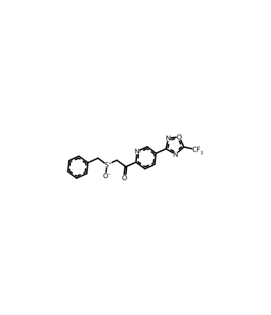 O=C(C[S+]([O-])Cc1ccccc1)c1ccc(-c2noc(C(F)(F)F)n2)cn1